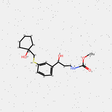 CC(C)(C)OC(=O)NCCC(O)c1cccc(SCC2(O)CCCCC2)c1